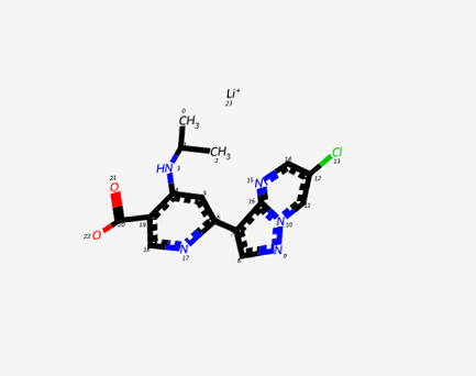 CC(C)Nc1cc(-c2cnn3cc(Cl)cnc23)ncc1C(=O)[O-].[Li+]